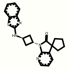 O=C1N([C@H]2C[C@H](Nc3nc4ccccc4s3)C2)c2ncccc2C12CCCC2